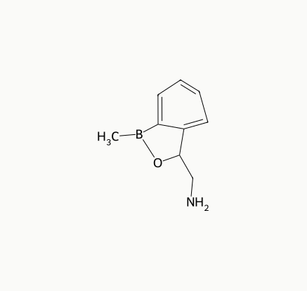 CB1OC(CN)c2ccccc21